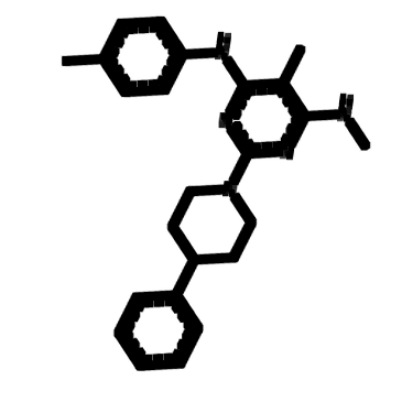 CNc1nc(N2CCC(c3ccccc3)CC2)nc(Nc2ccc(C)cc2)c1C